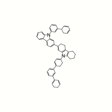 C1=CCC(c2cccc(-n3c4ccccc4c4ccc(C5=Cc6c(c7c(n6C6=CC=C(c8cccc(C9=CCCC=C9)c8)CC6)CCCC7)CC5)cc43)c2)C=C1